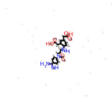 N=C(N)c1ccc(N2CC(CNc3ccc(CC(=O)O)cc3CC(=O)O)OC2=O)cc1